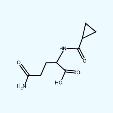 NC(=O)CCC(NC(=O)C1CC1)C(=O)O